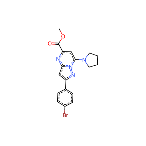 COC(=O)c1cc(N2CCCC2)n2nc(-c3ccc(Br)cc3)cc2n1